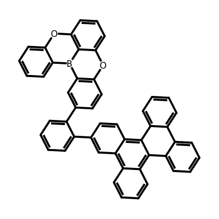 c1ccc2c(c1)Oc1cccc3c1B2c1cc(-c2ccccc2-c2ccc4c(c2)c2ccccc2c2c5ccccc5c5ccccc5c42)ccc1O3